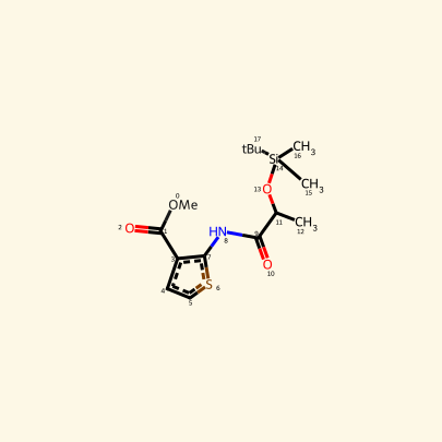 COC(=O)c1ccsc1NC(=O)C(C)O[Si](C)(C)C(C)(C)C